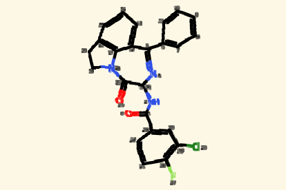 O=C(N[C@@H]1N=C(c2ccccc2)c2cccc3c2N(CC3)C1=O)c1ccc(F)c(Cl)c1